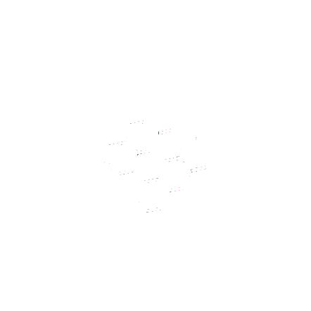 O=C(O)c1cc2ccccc2oc1=O.O=C(O)c1cc2ccccc2oc1=O.[Zn]